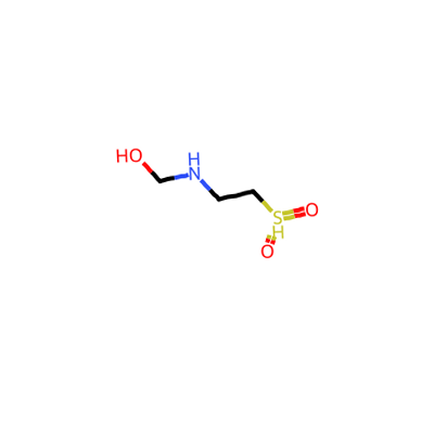 O=[SH](=O)CCNCO